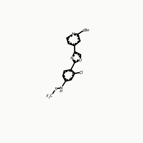 CC(C)(C)c1cc(-c2coc(-c3ccc(NSC(F)(F)F)cc3Cl)n2)ccn1